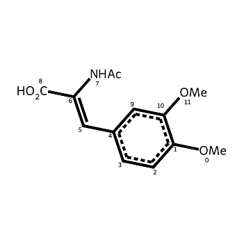 COc1ccc(/C=C(\NC(C)=O)C(=O)O)cc1OC